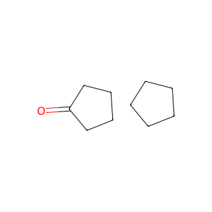 C1CCCC1.O=C1CCCC1